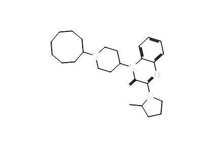 CC1CCCN1c1nc2ccccc2n(C2CCN(C3CCCCCCC3)CC2)c1=O